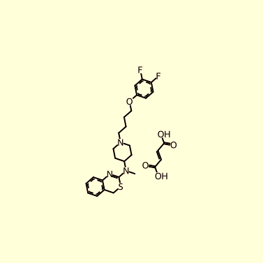 CN(C1=Nc2ccccc2CS1)C1CCN(CCCCOc2ccc(F)c(F)c2)CC1.O=C(O)C=CC(=O)O